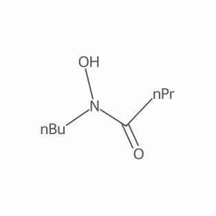 CCCCN(O)C(=O)CCC